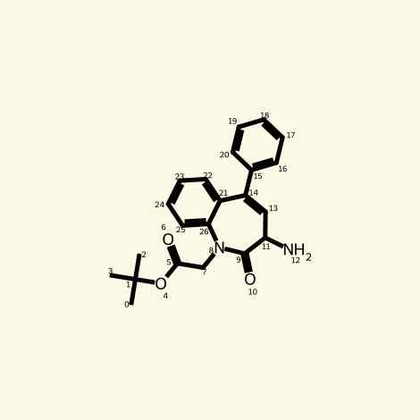 CC(C)(C)OC(=O)CN1C(=O)C(N)C=C(c2ccccc2)c2ccccc21